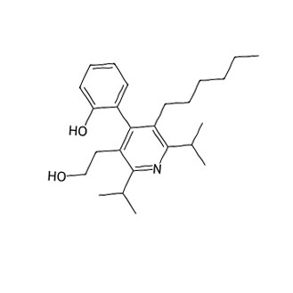 CCCCCCc1c(C(C)C)nc(C(C)C)c(CCO)c1-c1ccccc1O